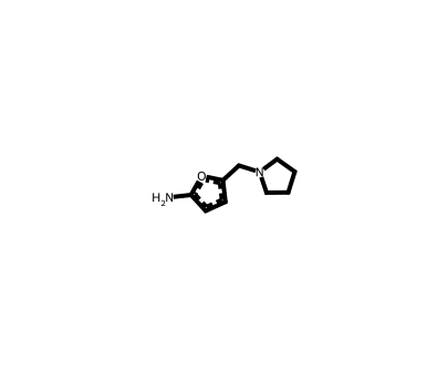 Nc1ccc(CN2CCCC2)o1